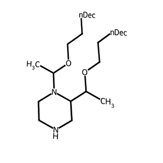 CCCCCCCCCCCCOC(C)C1CNCCN1C(C)OCCCCCCCCCCCC